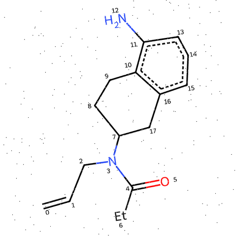 C=CCN(C(=O)CC)C1CCc2c(N)cccc2C1